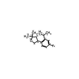 CC(C)c1cc(F)ccc1C1COC(C)(C)C1